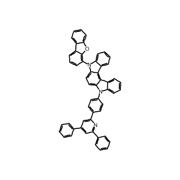 c1ccc(-c2cc(-c3ccccc3)nc(-c3ccc(-n4c5ccccc5c5c6c7ccccc7n(-c7cccc8c7oc7ccccc78)c6ccc54)cc3)c2)cc1